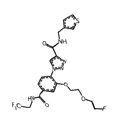 O=C(NCC(F)(F)F)c1ccc(-n2cc(C(=O)NCc3ccsc3)nn2)c(OCCOCCF)c1